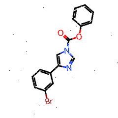 O=C(Oc1ccccc1)n1cnc(-c2cccc(Br)c2)c1